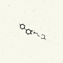 CC1CCN(CCc2nc3cc(-c4ccc(C#N)cc4)ccc3o2)C1